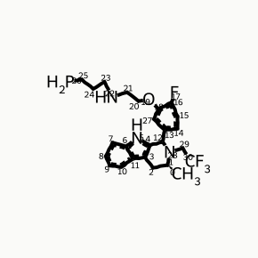 C[C@@H]1Cc2c([nH]c3ccccc23)C(c2ccc(F)c(OCCNCCCP)c2)N1CC(F)(F)F